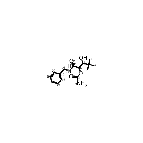 CC(C)(C)C(O)C(OC(N)=O)C(=O)NCc1ccccc1